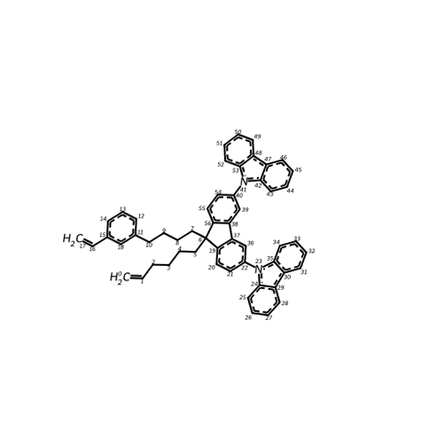 C=CCCCCC1(CCCCc2cccc(C=C)c2)c2ccc(-n3c4ccccc4c4ccccc43)cc2-c2cc(-n3c4ccccc4c4ccccc43)ccc21